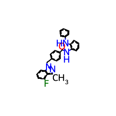 Cc1nn(Cc2ccc(C(=O)Nc3ccccc3Nc3ccccc3)cc2)c2cccc(F)c12